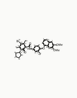 COc1cc2nccc(Oc3ccc(NC(=O)c4c(C)c(Br)c(C)n(C5CCCC5)c4=O)cc3F)c2nc1OC